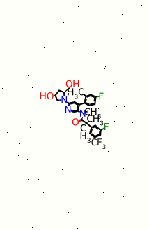 Cc1cc(F)ccc1-c1cc(N2C[C@H](O)C[C@H]2CO)ncc1N(C)C(=O)C(C)(C)c1cc(F)cc(C(F)(F)F)c1